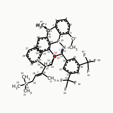 COc1cccc(OC)c1P(/N=C(\OC[C@@H](/C(C)=C/C[Si](C)(C)C)[n+]1ccccc1)c1cc(C(F)(F)F)cc(C(F)(F)F)c1)c1c(OC)cccc1OC